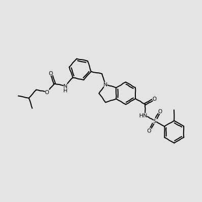 Cc1ccccc1S(=O)(=O)NC(=O)c1ccc2c(c1)CCN2Cc1cccc(NC(=O)OCC(C)C)c1